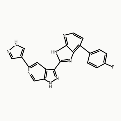 Fc1ccc(-c2ccnc3[nH]c(-c4n[nH]c5cnc(-c6cn[nH]c6)cc45)nc23)cc1